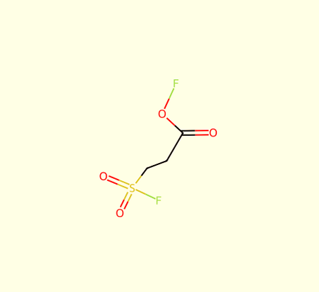 O=C(CCS(=O)(=O)F)OF